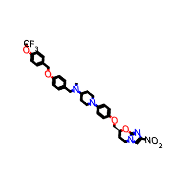 CN(Cc1ccc(OCc2ccc(OC(F)(F)F)cc2)cc1)C1CCN(c2ccc(OC[C@@H]3CCn4cc([N+](=O)[O-])nc4O3)cc2)CC1